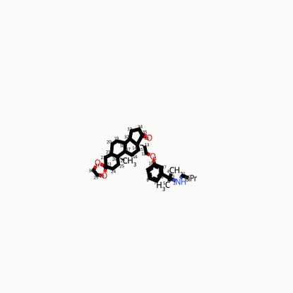 CC(C)CNC(C)(C)c1cccc(OCC[C@]23CCC4C(CCC5CC6(CC[C@@]54C)OCCO6)C2CCC3=O)c1